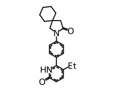 CCc1ccc(=O)[nH]c1-c1ccc(N2CC3(CCCCC3)CC2=O)cc1